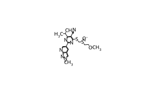 COCC[S+]([O-])CSc1nc(-c2cnc3nn(C)cc3c2)nc(C(C)C)c1C#N